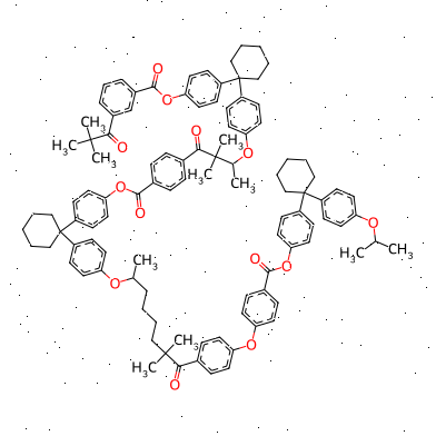 CC(C)Oc1ccc(C2(c3ccc(OC(=O)c4ccc(Oc5ccc(C(=O)C(C)(C)CCCCC(C)Oc6ccc(C7(c8ccc(OC(=O)c9ccc(C(=O)C(C)(C)C(C)Oc%10ccc(C%11(c%12ccc(OC(=O)c%13cccc(C(=O)C(C)(C)C)c%13)cc%12)CCCCC%11)cc%10)cc9)cc8)CCCCC7)cc6)cc5)cc4)cc3)CCCCC2)cc1